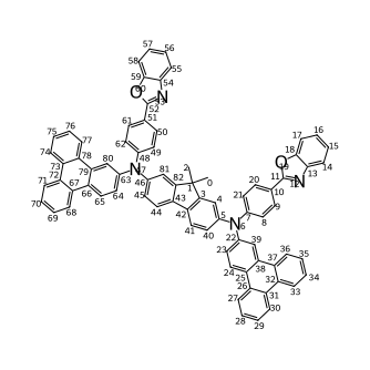 CC1(C)c2cc(N(c3ccc(-c4nc5ccccc5o4)cc3)c3ccc4c5ccccc5c5ccccc5c4c3)ccc2-c2ccc(N(c3ccc(-c4nc5ccccc5o4)cc3)c3ccc4c5ccccc5c5ccccc5c4c3)cc21